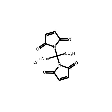 CCCCCCCCCC(C(=O)O)(N1C(=O)C=CC1=O)N1C(=O)C=CC1=O.[Zn]